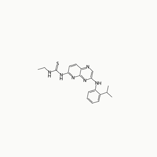 CCNC(=S)Nc1ccc2ncc(Nc3ccccc3C(C)C)nc2n1